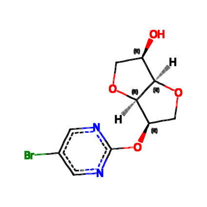 O[C@@H]1CO[C@H]2[C@@H]1OC[C@H]2Oc1ncc(Br)cn1